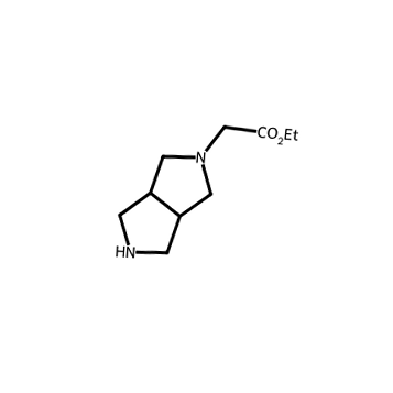 CCOC(=O)CN1CC2CNCC2C1